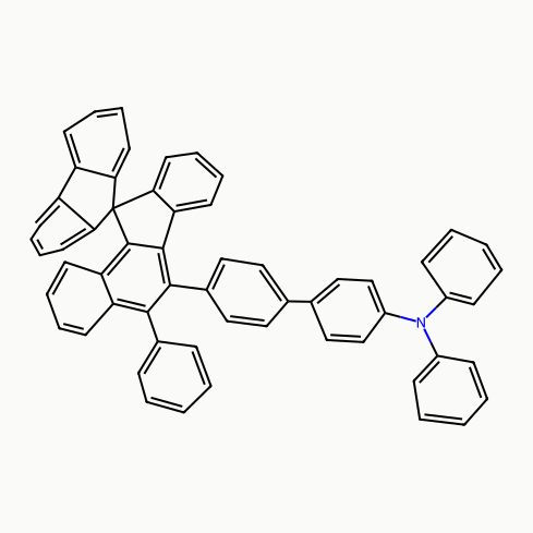 c1ccc(-c2c(-c3ccc(-c4ccc(N(c5ccccc5)c5ccccc5)cc4)cc3)c3c(c4ccccc24)C2(c4ccccc4-c4ccccc42)c2ccccc2-3)cc1